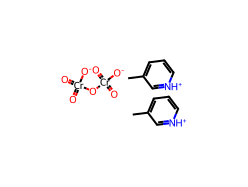 Cc1ccc[nH+]c1.Cc1ccc[nH+]c1.[O]=[Cr](=[O])([O-])[O][Cr](=[O])(=[O])[O-]